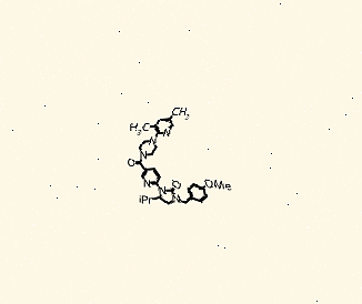 COc1ccc(CN2CC(C(C)C)N(c3ccc(C(=O)N4CCN(c5ncc(C)cc5C)CC4)cn3)C2=O)cc1